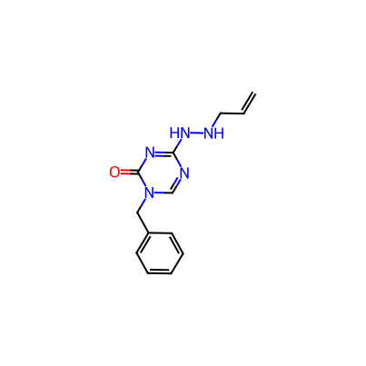 C=CCNNc1ncn(Cc2ccccc2)c(=O)n1